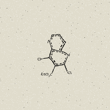 CCOC(=O)c1c(Cl)nc2cccnc2c1Cl